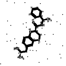 C[C@H](O)Cc1ccc2c(c1)OC[C@H](C(=O)N[C@H](C)c1ccccc1)O2